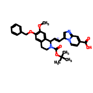 COc1cc2c(cc1OCc1ccccc1)CCN(C(=O)OC(C)(C)C)C2/C=C/c1cnc2cc(C(=O)O)ccn12